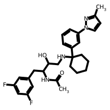 CC(=O)NC(Cc1cc(F)cc(F)c1)C(O)CNC1(c2cccc(-n3ccc(C)n3)c2)CCCCC1